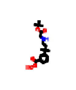 CC(C)(C)OC(=O)CNCCC(C)(C)c1cccc(C(=O)OO)c1